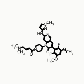 COc1cc(OC)c(F)c(-c2cc3cnc(Nc4ccn(C)n4)cc3n(C3CCN(C(=O)/C=C/CN(C)C)CC3)c2=O)c1F